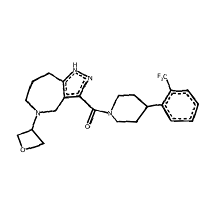 O=C(c1n[nH]c2c1CN(C1COC1)CCC2)N1CCC(c2ccccc2C(F)(F)F)CC1